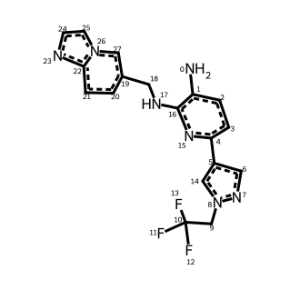 Nc1ccc(-c2cnn(CC(F)(F)F)c2)nc1NCc1ccc2nccn2c1